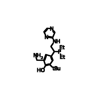 CCP(CC)C(CNc1cnccn1)c1cc(CN)c(O)c(C(C)(C)C)c1